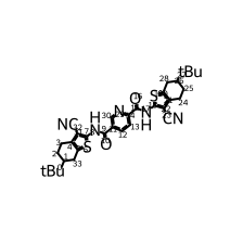 CC(C)(C)C1CCc2c(sc(NC(=O)c3ccc(C(=O)Nc4sc5c(c4C#N)CCC(C(C)(C)C)C5)nc3)c2C#N)C1